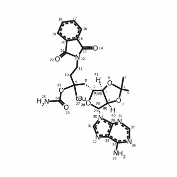 CC1(C)O[C@@H]2[C@H](O1)[C@@H](CC(CCN1C(=O)c3ccccc3C1=O)(OC(N)=O)C(C)(C)C)O[C@H]2n1cnc2c(N)ncnc21